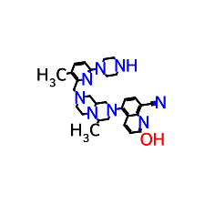 Cc1ccc(N2CCNCC2)nc1CN1CCN2C(C)CN(c3ccc(C#N)c4nc(O)ccc34)CC2C1